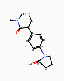 CN(C)C(=O)C(CC=O)c1ccc(N2CCCC2=O)cc1